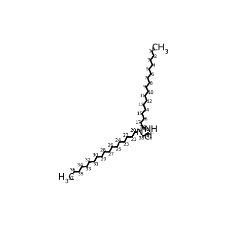 CCCCCCCCCCCCCCCCCCC1=[N+](CCCCCCCCCCCCCCCCCC)CCN1.[Cl-]